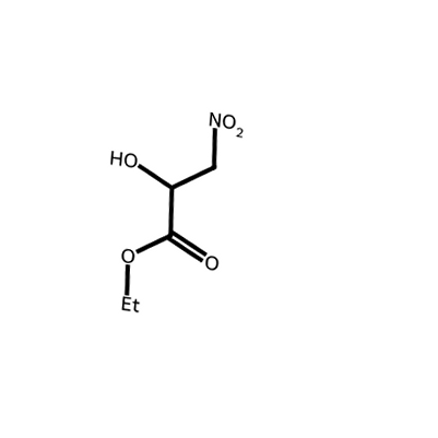 CCOC(=O)C(O)C[N+](=O)[O-]